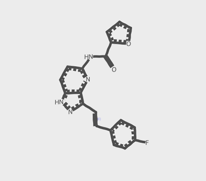 O=C(Nc1ccc2[nH]nc(/C=C/c3ccc(F)cc3)c2n1)c1ccco1